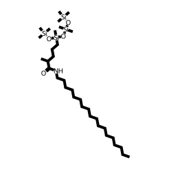 CCCCCCCCCCCCCCCCCCNC(=O)C(C)CCC[Si](C)(O[Si](C)(C)C)O[Si](C)(C)O[Si](C)(C)C